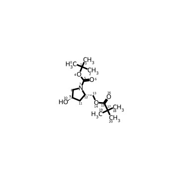 CC(C)(C)OC(=O)N1C[C@@H](O)C[C@H]1COC(=O)C(C)(C)C